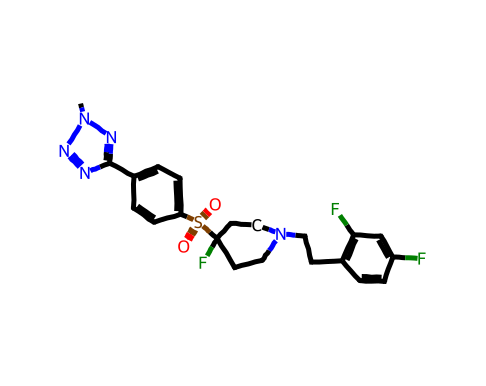 Cn1nnc(-c2ccc(S(=O)(=O)C3(F)CCN(CCc4ccc(F)cc4F)CC3)cc2)n1